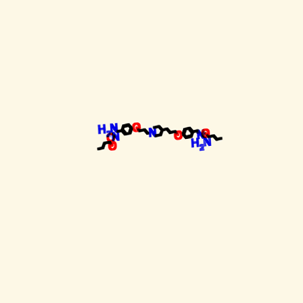 CCCC(=O)ON=C(N)c1ccc(OCCCN2CCC(CCCOc3ccc(C=NOC(N)CCC)cc3)CC2)cc1